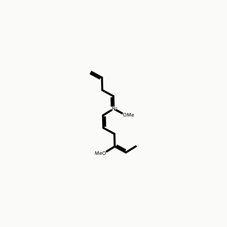 C=CC/C=[N+](\C=C/C/C(=C\C)OC)OC